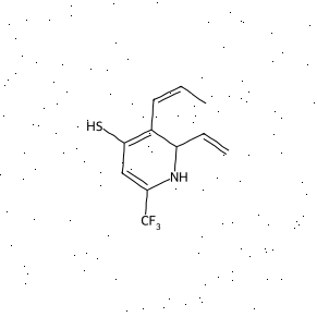 C=CC1NC(C(F)(F)F)=CC(S)=C1/C=C\C